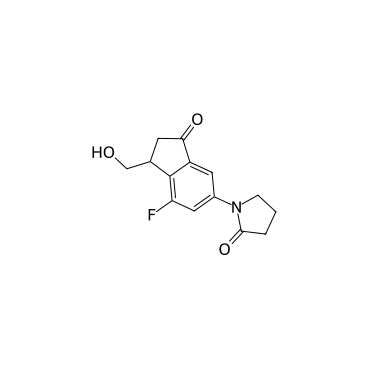 O=C1CC(CO)c2c(F)cc(N3CCCC3=O)cc21